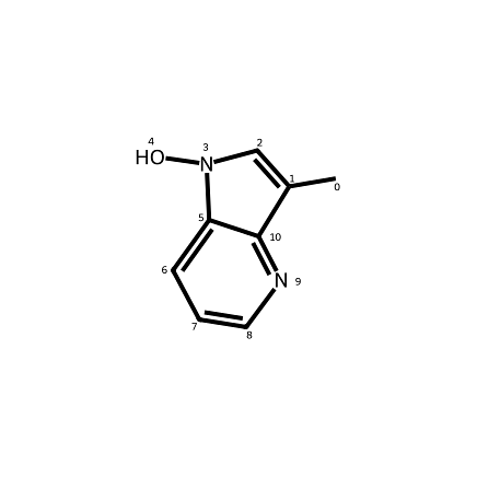 Cc1cn(O)c2cccnc12